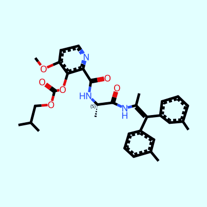 COc1ccnc(C(=O)N[C@@H](C)C(=O)NC(C)=C(c2cccc(C)c2)c2cccc(C)c2)c1OC(=O)OCC(C)C